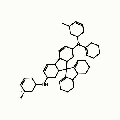 CC1C=CCC(N(C2=CCCCC2)C2C=CC3C4C=CC(NC5CC=C[C@H](C)C5)CC4C4(C5=CCCCC5C5CCCC=C54)C3C2)C1